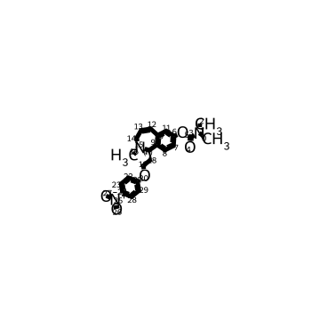 CN(C)C(=O)Oc1ccc2c(c1)C=CCN(C)[C@@H]2CCOc1ccc([N+](=O)[O-])cc1